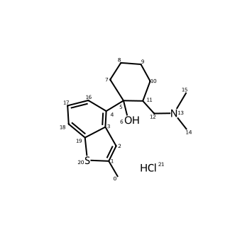 Cc1cc2c(C3(O)CCCCC3CN(C)C)cccc2s1.Cl